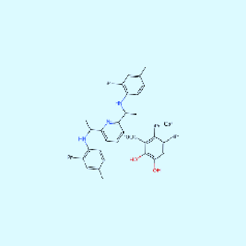 CC(C)c1cc(O)c(O)c(C(=O)[O-])c1C(C)C.Cc1ccc(NC(C)c2cccc(C(C)Nc3ccc(C)cc3C(C)C)n2)c(C(C)C)c1.[Co+]